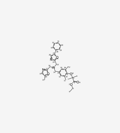 CCOC(=O)C(C)(C)Oc1c(C)cc(CN(Cc2ncc(C)o2)Cc2ncc(-c3ccccc3)o2)cc1C